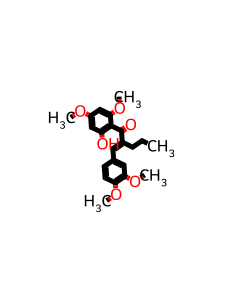 CCC/C(=C\c1ccc(OC)c(OC)c1)C(=O)c1c(O)cc(OC)cc1OC